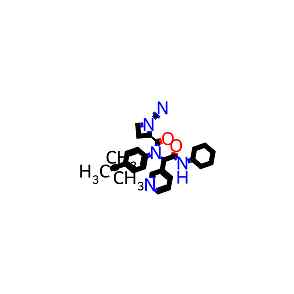 CC(C)(C)c1ccc(N(C(=O)[C@H]2CCN2C#N)[C@@H](C(=O)NC2CCCCC2)c2cccnc2)cc1